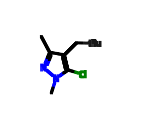 Cc1nn(C)c(Cl)c1CC(C)(C)C